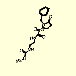 CC(C)(C)OC(=O)NCCNC(=O)C(=O)[C@H]1CCC(=O)N1Cc1ccccc1